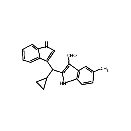 Cc1ccc2[nH]c(C(c3c[nH]c4ccccc34)C3CC3)c(C=O)c2c1